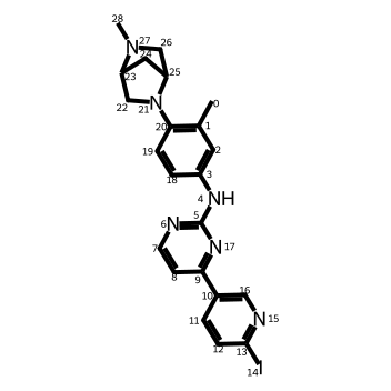 Cc1cc(Nc2nccc(-c3ccc(I)nc3)n2)ccc1N1CC2CC1CN2C